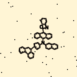 c1ccc2cc(N(c3ccc(-c4cc5ccccc5c5ccccc45)cc3)c3c4ccccc4c(-c4nc5ccccc5o4)c4ccccc34)ccc2c1